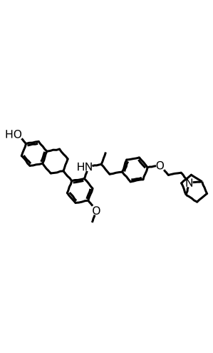 COc1ccc(C2CCc3cc(O)ccc3C2)c(NC(C)Cc2ccc(OCCN3C4CCC3CC4)cc2)c1